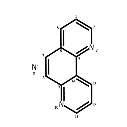 [N].c1cnc2c(c1)ccc1ncccc12